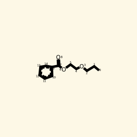 CCCOCCOC(=O)c1ccccc1